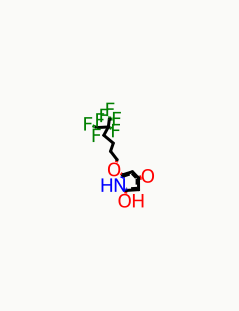 O=c1cc(O)[nH]c(OCCCCC(F)(C(F)(F)F)C(F)(F)F)c1